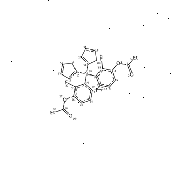 CCC(=O)Oc1ccc(F)[c]([Ti]([C]2=CC=CC2)([C]2=CC=CC2)[c]2c(F)ccc(OC(=O)CC)c2F)c1F